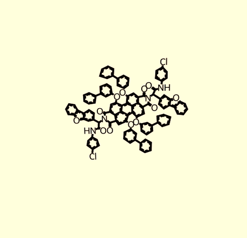 O=C(Nc1ccc(Cl)cc1)C(c1ccc2c(c1)oc1ccccc12)N1C(=O)c2cc(Oc3cccc(-c4ccccc4)c3)c3c4c(Oc5cccc(-c6ccccc6)c5)cc5c6c(cc(Oc7cccc(-c8ccccc8)c7)c(c7c(Oc8cccc(-c9ccccc9)c8)cc(c2c37)C1=O)c64)C(=O)N(C(C(=O)Nc1ccc(Cl)cc1)c1ccc2c(c1)oc1ccccc12)C5=O